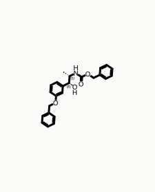 C[C@H](NC(=O)OCc1ccccc1)[C@H](O)c1cccc(OCc2ccccc2)c1